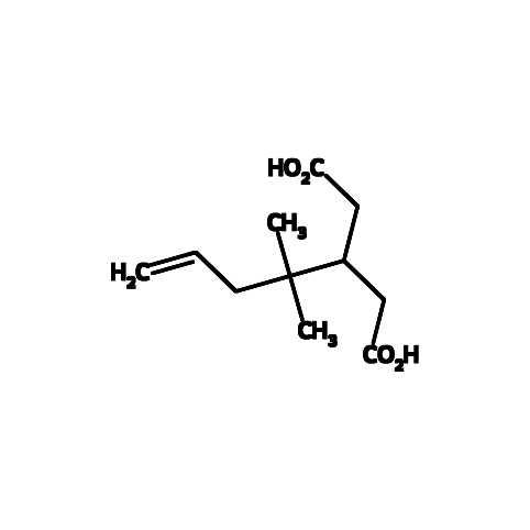 C=CCC(C)(C)C(CC(=O)O)CC(=O)O